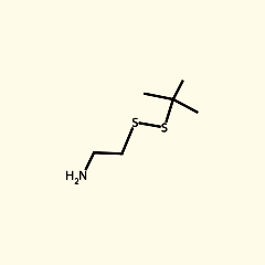 CC(C)(C)SSCCN